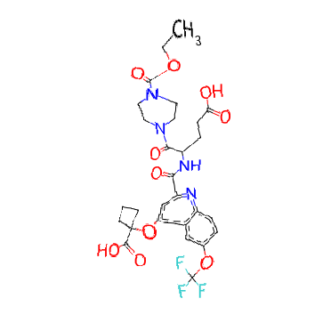 CCOC(=O)N1CCN(C(=O)C(CCC(=O)O)NC(=O)c2cc(OC3(C(=O)O)CCC3)c3cc(OC(F)(F)F)ccc3n2)CC1